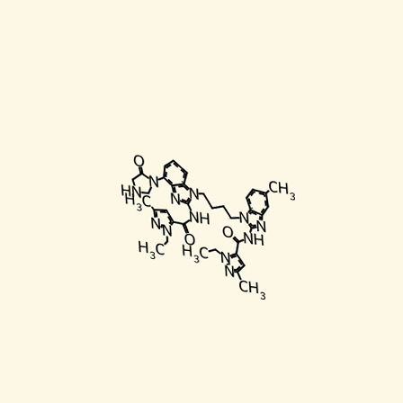 CCn1nc(C)cc1C(=O)Nc1nc2cc(C)ccc2n1CCCCn1c(NC(=O)c2cc(C)nn2CC)nc2c(N3CNCC3=O)cccc21